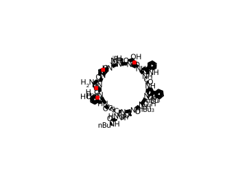 CCCCNC(=O)CNC(=O)[C@@H]1CSCC(=O)N[C@@H](Cc2ccc(O)cc2)C(=O)N(C)[C@@H](C)C(=O)N[C@@H](CC(N)=O)C(=O)N2CCC[C@H]2C(=O)N[C@@H](CN)C(=O)N[C@@H](CC(C)C)C(=O)N2C[C@H](O)C[C@H]2C(=O)N[C@@H](Cc2c[nH]c3ccccc23)C(=O)NCC(=O)NC(Cc2c[nH]c3ccccc23)C(=O)N(C)[C@@H](CCCC)C(=O)N(C)[C@@H](CCCC)C(=O)N[C@@H](CC(C)C)C(=O)N1